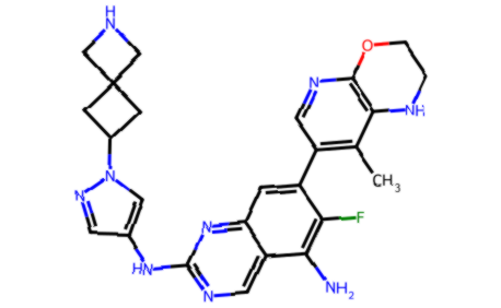 Cc1c(-c2cc3nc(Nc4cnn(C5CC6(CNC6)C5)c4)ncc3c(N)c2F)cnc2c1NCCO2